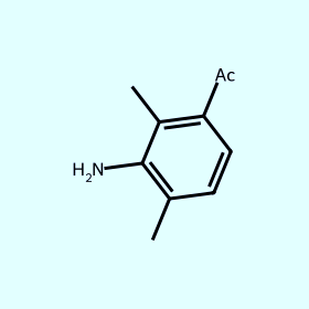 CC(=O)c1ccc(C)c(N)c1C